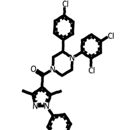 Cc1nn(-c2ccccc2)c(C)c1C(=O)N1CCN(c2ccc(Cl)cc2Cl)C(c2ccc(Cl)cc2)C1